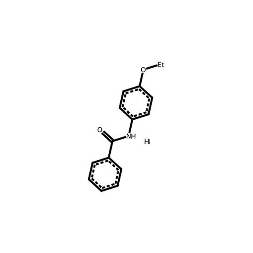 CCOc1ccc(NC(=O)c2ccccc2)cc1.I